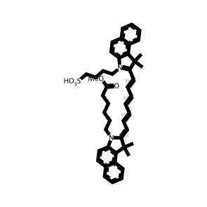 COC(=O)CCCCCN1\C(=C/C=C/C=C/C=C/C2=[N+](CCCCS(=O)(=O)O)c3ccc4ccccc4c3C2(C)C)C(C)(C)c2c1ccc1ccccc21